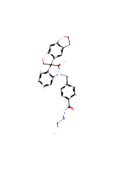 CCOCCNC(=O)c1ccc(CN2C(=O)C3(COc4cc5c(cc43)CCO5)c3ccccc32)cc1